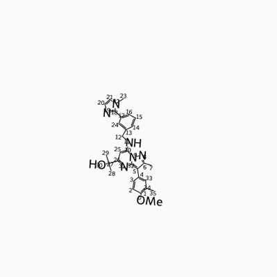 COc1ccc(-c2c(C)nn3c(NCc4cccc(-c5nccn5C)c4)cc(C(C)(C)O)nc23)cc1C